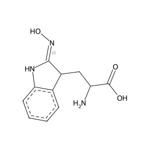 NC(CC1/C(=N/O)Nc2ccccc21)C(=O)O